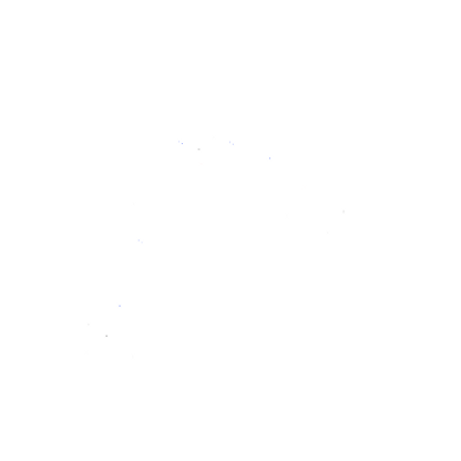 CC(C)(C)CNCCCN1CCC(OC2CC(NC(=O)CN3CCN(CCOC(C)(C)C)CC3)C2)CC1